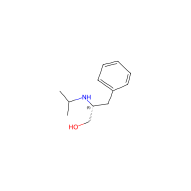 CC(C)N[C@@H](CO)Cc1ccccc1